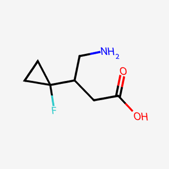 NCC(CC(=O)O)C1(F)CC1